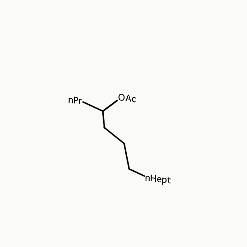 CCCCCCCCCCC(CCC)OC(C)=O